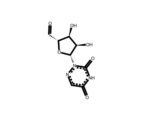 O=C[C@H]1O[C@@H](n2ncc(=O)[nH]c2=O)[C@H](O)[C@@H]1O